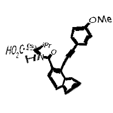 COc1ccc(C#Cc2c(C(=O)N[C@H](C(=O)O)C(C)C)ccc3ccccc23)cc1